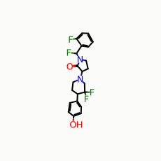 O=C1C(N2CCC(c3ccc(O)cc3)C(F)(F)C2)CCN1C(F)c1ccccc1F